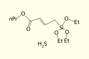 CCCOC(=O)C=CC[Si](OCC)(OCC)OCC.S